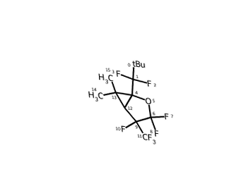 CC(C)(C)C(F)(F)C12OC(F)(F)C(F)(C(F)(F)F)C1C2(C)C